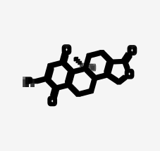 CC(C)C1=CC(=O)C2=C(CCC3C4=C(CC[C@]23C)C(=O)OC4)C1=O